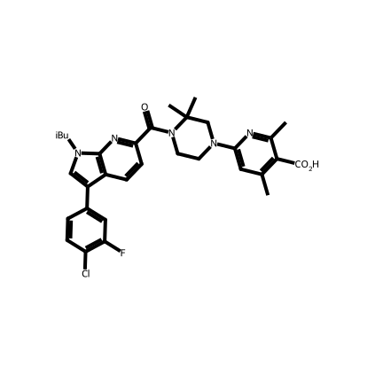 CCC(C)n1cc(-c2ccc(Cl)c(F)c2)c2ccc(C(=O)N3CCN(c4cc(C)c(C(=O)O)c(C)n4)CC3(C)C)nc21